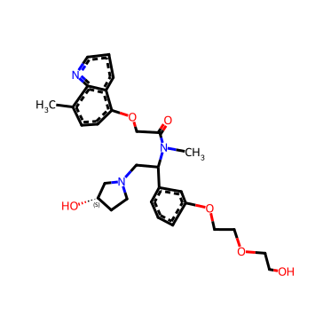 Cc1ccc(OCC(=O)N(C)C(CN2CC[C@H](O)C2)c2cccc(OCCOCCO)c2)c2cccnc12